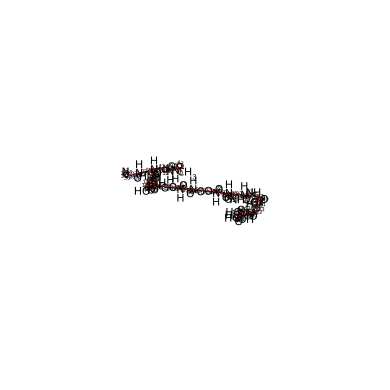 Cc1ccccc1NC(=O)Nc1ccc(CC(=O)N[C@@H](CCCCNC(=O)/C=C/c2cccnc2)C(=O)N[C@@H](CCCC(=O)O)C(=O)NC2(C(=O)NCCOCCOCCNC(=O)CCC(=O)NCCOCCOCCNC(=O)CCC(=O)N[C@@H](CCCCNC(=O)[C@H](N)CSC3CC(=O)N(CC4CCC(C(=O)NCCCC(O)(P(=O)(O)O)P(=O)(O)O)CC4)C3=O)C(N)=O)CCCCC2)cc1